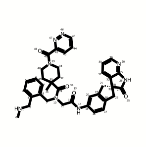 CNCc1ccccc1CN(CC(=O)Nc1ccc2c(c1)C[C@@]1(C2)C(=O)Nc2ncccc21)C(=O)C1(C)CCN(C(=O)c2cccnn2)CC1